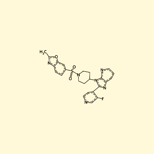 Cc1nc2ccc(S(=O)(=O)N3CCC(n4c(-c5ccncc5F)nc5cccnc54)CC3)cc2o1